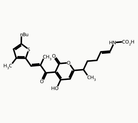 CCCCc1cc(C)c(/C=C(\C)C(=O)c2c(O)cc(C(C)CC/C=C/NC(=O)O)oc2=O)s1